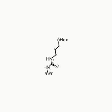 CCCCCCCCCNC(=S)NCCC